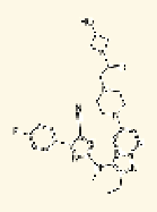 CCc1nc2ncc(N3CCN(CC(=O)N4CC(O)C4)CC3)cn2c1N(C)c1nc(-c2ccc(F)cc2)c(C#N)s1